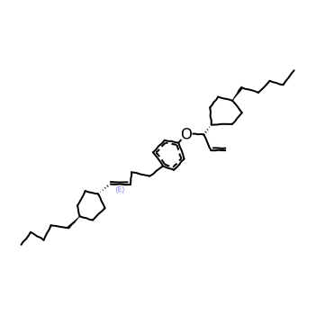 C=CC(Oc1ccc(CC/C=C/[C@H]2CC[C@H](CCCCC)CC2)cc1)[C@H]1CC[C@H](CCCCC)CC1